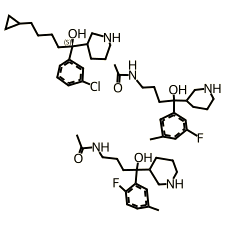 CC(=O)NCCCC(O)(c1cc(C)cc(F)c1)C1CCCNC1.CC(=O)NCCCC(O)(c1cc(C)ccc1F)C1CCCNC1.O[C@](CCCCC1CC1)(c1cccc(Cl)c1)C1CCCNC1